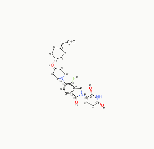 O=CC[C@H]1CC[C@H](OC2CCN(c3ccc4c(c3F)CN(C3CCC(=O)NC3=O)C4=O)CC2)CC1